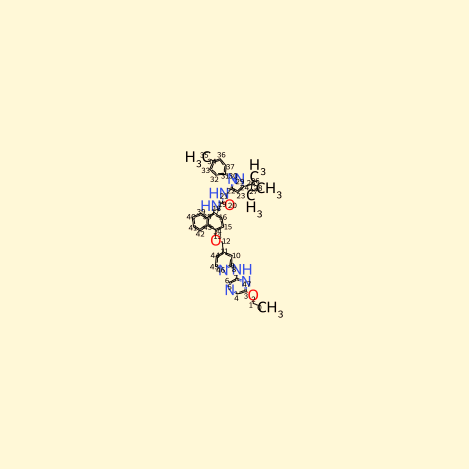 CCOc1cncc(Nc2cc(COc3ccc(NC(=O)Nc4cc(C(C)(C)C)nn4-c4ccc(C)cc4)c4ccccc34)ccn2)n1